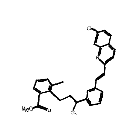 COC(=O)c1cccc(C)c1CCC(O)c1cccc(C=Cc2ccc3ccc(Cl)cc3n2)c1